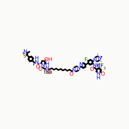 Cc1ncsc1-c1ccc([C@H](C)NC(=O)[C@@H]2C[C@@H](O)CN2C(=O)[C@@H](NC(=O)CCCCCCCCCC(=O)N2CCN(c3ccc(-c4cc(NC(=O)c5c[nH]c(=O)cc5C(F)(F)F)c(N5C[C@@H](C)N(C)[C@@H](C)C5)cc4F)cn3)CC2)C(C)(C)C)cc1